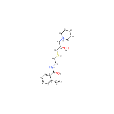 COc1ccccc1C(=O)NCCSCC(O)CN1CCCCC1